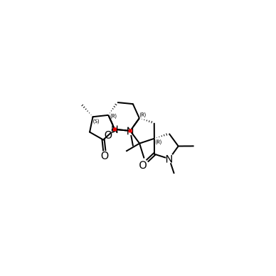 CC1C[C@]2(C[C@@]34CC[C@]5(C(=O)N3C)[C@@H](C)CC(=O)N5C4C2(C)C)C(=O)N1C